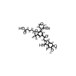 Br.COc1cc2c(c(F)c1OC)C(=N)N(CC(=O)c1cc(N3CCOCC3)c(OCCCCC(=O)O)c(C(C)(C)C)c1)C2